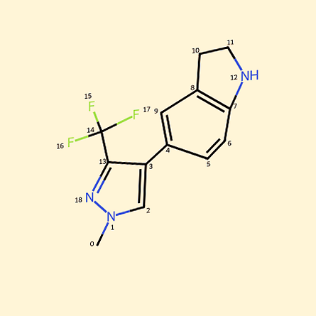 Cn1cc(-c2ccc3c(c2)CCN3)c(C(F)(F)F)n1